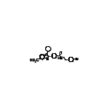 O=C(O)c1ccc2c(c1)nc(-c1ccc(C(=O)NCCc3ccc(Br)cc3)cc1)n2C1CCCCC1